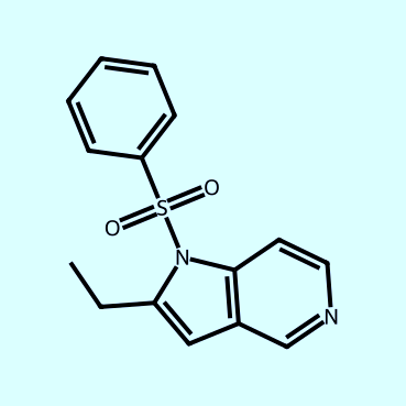 CCc1cc2cnccc2n1S(=O)(=O)c1ccccc1